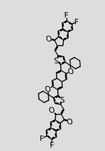 O=C1/C(=C/c2cc3c(s2)C2=CC4C=C5OC6(CCCCC6)c6cc(C=C7C(=O)c8cc9cc(F)c(F)cc9cc8C7=O)sc6C5=CC4C=C2OC32CCCCC2)Cc2cc3cc(F)c(F)cc3cc21